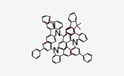 CC1(C)c2ccccc2-c2cc3c(N(c4cccc(-c5ccccc5)c4)c4ccccc4-c4ccccc4)c4cc(N(c5cccc(-c6ccccc6)c5)c5ccccc5-c5ccccc5)ccc4c(N(c4cccc(-c5ccccc5)c4)c4ccccc4-c4ccccc4)c3cc21